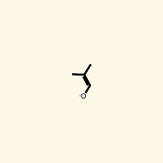 CC(C)=C[O]